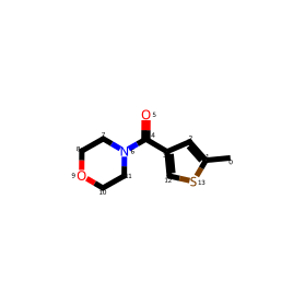 Cc1cc(C(=O)N2CCOCC2)cs1